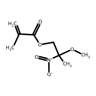 C=C(C)C(=O)OCC(C)(OC)[N+](=O)[O-]